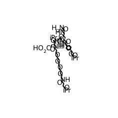 CC(C)C(=O)CCC(=O)NCCOCCOCCOCCOCCC(=O)N[C@@H](CCC(=O)O)C(=O)N[C@H](C(=O)N[C@@H](CCCNC(N)=O)C(=O)Nc1ccc(COC(=O)C(C)C)cc1)C(C)C